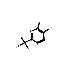 Cc1ccc(C(F)(F)F)nc1Br